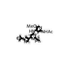 COc1cnc(NC(C)=O)cc1Nc1cc(-c2cnn(C3COC3)c2)nc(C(C)(F)F)n1